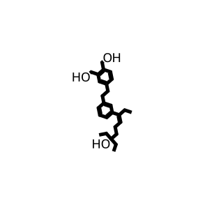 CC/C(=C/CCC(O)(CC)CC)c1cccc(CCc2ccc(CO)c(CO)c2)c1